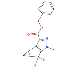 Cn1nc(C(=O)OCc2ccccc2)c2c1C(F)(F)C1CC21